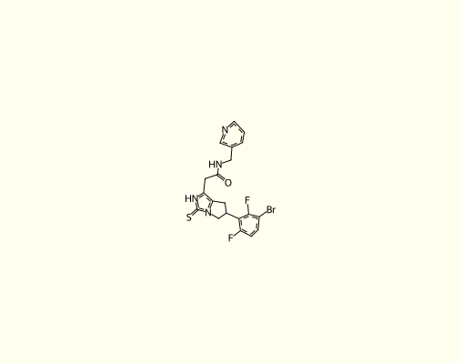 O=C(Cc1[nH]c(=S)n2c1CC(c1c(F)ccc(Br)c1F)C2)NCc1cccnc1